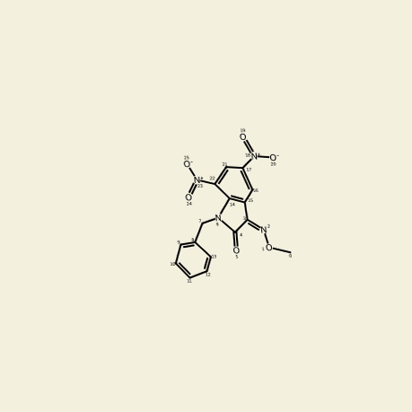 CON=C1C(=O)N(Cc2ccccc2)c2c1cc([N+](=O)[O-])cc2[N+](=O)[O-]